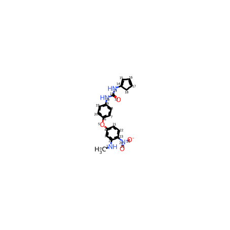 CNc1cc(Oc2ccc(NC(=O)NC3=CC=CC3)cc2)ccc1[N+](=O)[O-]